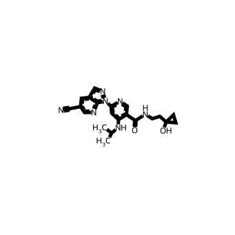 CC(C)Nc1cc(-n2ncc3cc(C#N)cnc32)ncc1C(=O)NCCC1(O)CC1